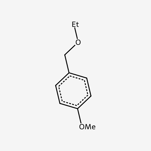 CCOCc1ccc(OC)cc1